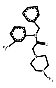 CN1CCN(CC(=O)N(Cc2ccccc2)c2cccc(C(F)(F)F)c2)CC1